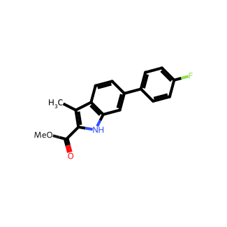 COC(=O)c1[nH]c2cc(-c3ccc(F)cc3)ccc2c1C